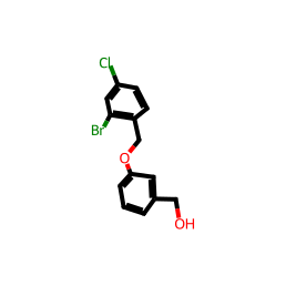 OCc1cccc(OCc2ccc(Cl)cc2Br)c1